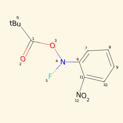 CC(C)(C)C(=O)ON(F)c1ccccc1[N+](=O)[O-]